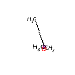 CCCCCCCCCCCCCCCCCCCCCCP(C)(C)=O